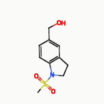 CS(=O)(=O)N1CCc2cc(CO)ccc21